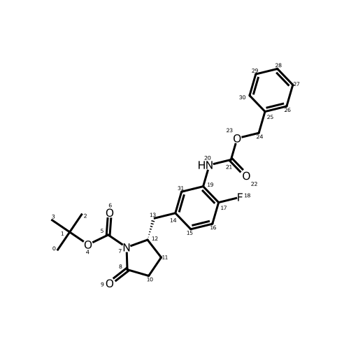 CC(C)(C)OC(=O)N1C(=O)CC[C@H]1Cc1ccc(F)c(NC(=O)OCc2ccccc2)c1